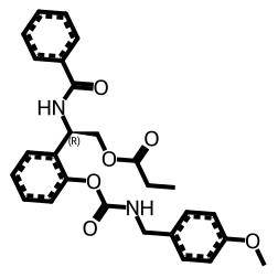 CCC(=O)OC[C@H](NC(=O)c1ccccc1)c1ccccc1OC(=O)NCc1ccc(OC)cc1